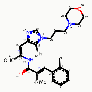 CN/C(=C\c1ccccc1C)C(=O)N/C(C=O)=C\c1ncn(CCCN2CCOCC2)c1C(C)C